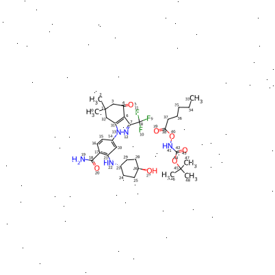 CC1(C)CC(=O)c2c(C(F)(F)F)nn(-c3ccc(C(N)=O)c(N[C@H]4CC[C@H](O)CC4)c3)c2C1.CCCCCC(=O)ONC(=O)OC(C)(C)C